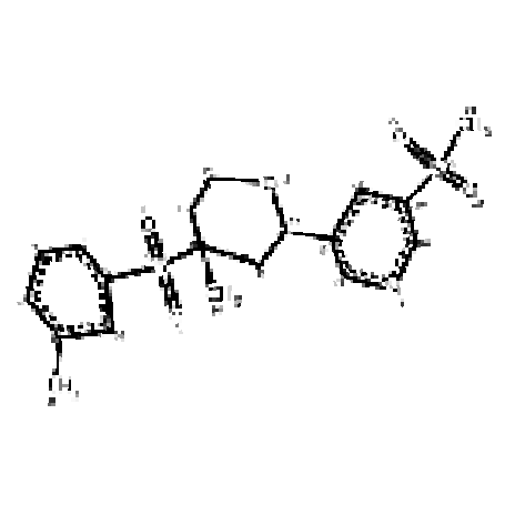 Cc1cccc(S(=O)(=O)[C@]2(C)CCO[C@@H](c3cncc(S(C)(=O)=O)c3)C2)c1